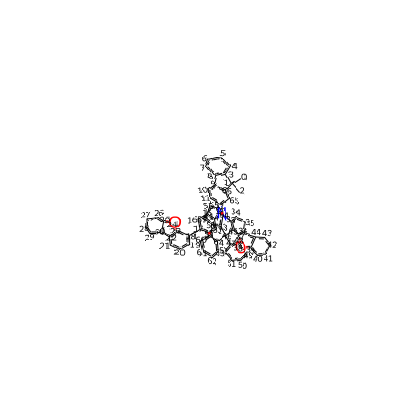 CC1(C)c2ccccc2-c2ccc(N(c3ccc(-c4cccc5c4oc4ccccc45)cc3)c3ccc4c(oc5ccccc54)c3C3(c4ccccc4)c4ccccc4-c4ccccc43)cc21